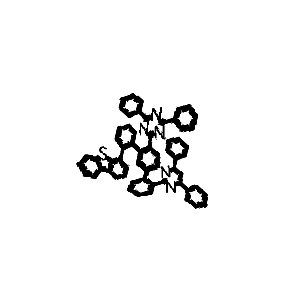 c1ccc(-c2cc(-c3ccccc3)nc(-c3ccccc3-c3ccc(-c4nc(-c5ccccc5)nc(-c5ccccc5)n4)c(-c4ccccc4-c4cccc5c4sc4ccccc45)c3)n2)cc1